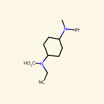 CC(C)N(C)C1CCC(N(CC#N)C(=O)O)CC1